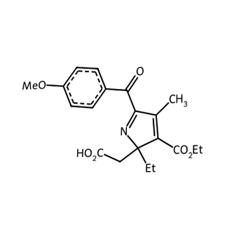 CCOC(=O)C1=C(C)C(C(=O)c2ccc(OC)cc2)=NC1(CC)CC(=O)O